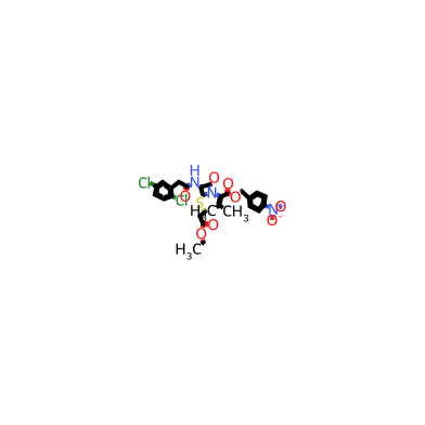 CCOC(=O)CCSC1C(NC(=O)Cc2cc(Cl)ccc2Cl)C(=O)N1C(C(=O)OCc1ccc([N+](=O)[O-])cc1)=C(C)C